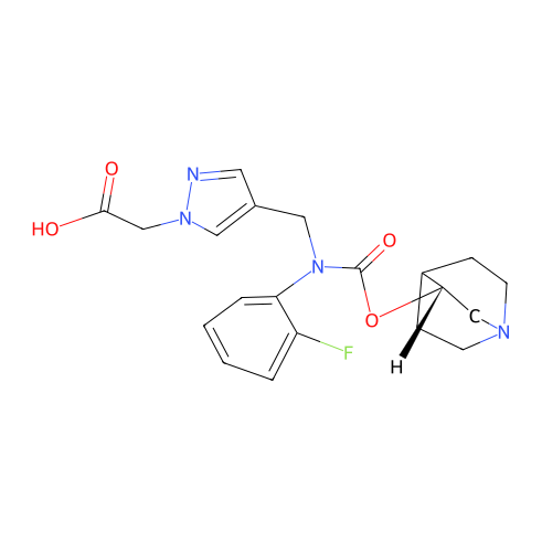 O=C(O)Cn1cc(CN(C(=O)O[C@H]2CN3CCC2CC3)c2ccccc2F)cn1